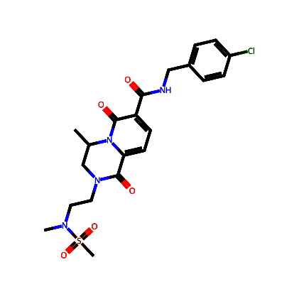 CC1CN(CCN(C)S(C)(=O)=O)C(=O)c2ccc(C(=O)NCc3ccc(Cl)cc3)c(=O)n21